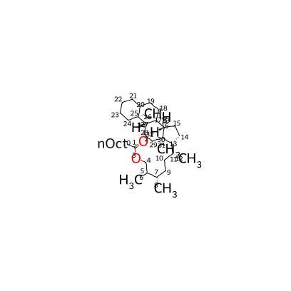 CCCCCCCCC(=O)OCC(C)[C@@H](C)CC[C@@H](C)[C@H]1CC[C@H]2[C@@H]3CCC4CCCC[C@]4(C)[C@H]3CC[C@]12C